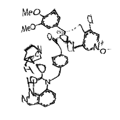 COc1ccc([C@H](Cc2c(Cl)c[n+]([O-])cc2Cl)OC(=O)c2ccc(CN(C(=O)O[C@H]3CN4CCC3CC4)c3cccc4cn[nH]c34)cc2)cc1OC